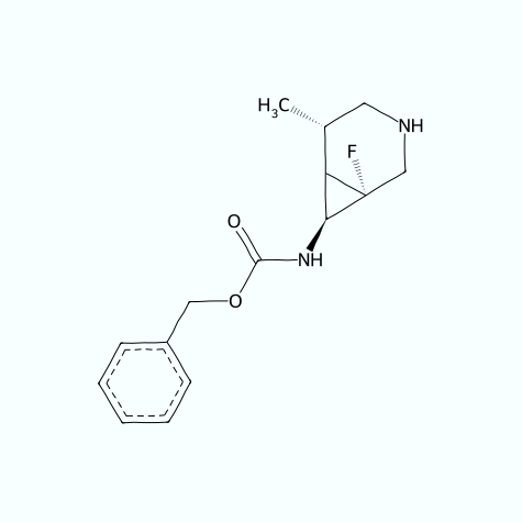 C[C@@H]1CNC[C@]2(F)C1[C@@H]2NC(=O)OCc1ccccc1